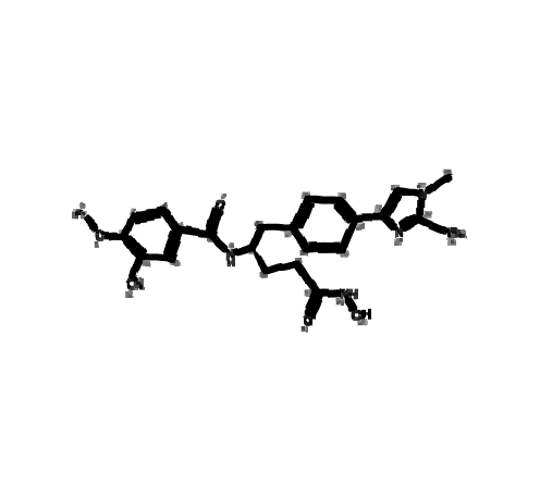 CC(C)Oc1ccc(C(=O)N[C@H](CCC(=O)NO)Cc2ccc(-c3cn(C)c(C(C)(C)C)n3)cc2)cc1C#N